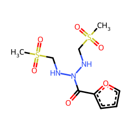 CS(=O)(=O)CNN(NCS(C)(=O)=O)C(=O)c1ccco1